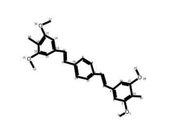 COc1cc(C=Cc2ccc(C=Cc3cc(OC)c(C)c(OC)c3)cc2)cc(OC)c1C